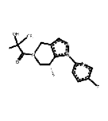 C[C@@H]1CN(C(=O)C(C)(O)C(F)(F)F)Cc2cnn(-c3ccc(F)cn3)c21